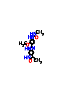 CCC1C(=O)Nc2cc3[nH]c(-c4ccc(NC(=O)NC)cc4OC)nc3cc21